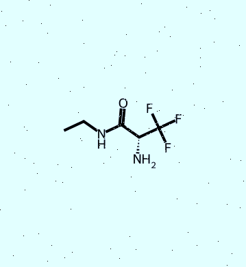 CCNC(=O)[C@@H](N)C(F)(F)F